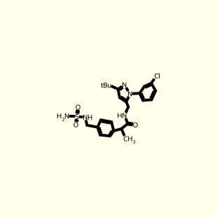 CC(C(=O)NCc1cc(C(C)(C)C)nn1-c1cccc(Cl)c1)c1ccc(CNS(N)(=O)=O)cc1